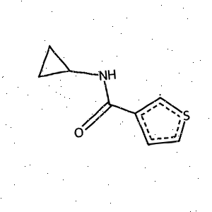 O=C(NC1CC1)c1[c]scc1